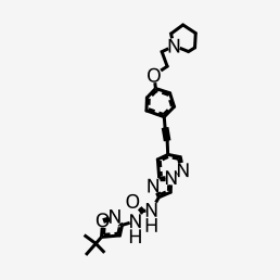 CC(C)(C)c1cc(NC(=O)Nc2cn3ncc(C#Cc4ccc(OCCN5CCCCC5)cc4)cc3n2)no1